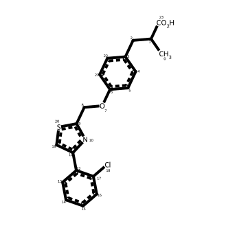 CC(Cc1ccc(OCc2nc(-c3ccccc3Cl)cs2)cc1)C(=O)O